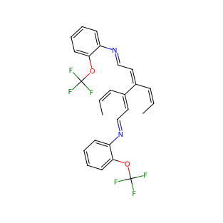 C\C=C/C(=C/C=N/c1ccccc1OC(F)(F)F)C(/C=C\C)=C/C=N/c1ccccc1OC(F)(F)F